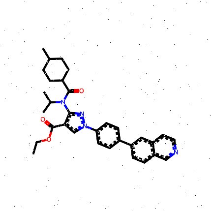 CCOC(=O)c1cn(-c2ccc(-c3ccc4cnccc4c3)cc2)nc1N(C(=O)C1CCC(C)CC1)C(C)C